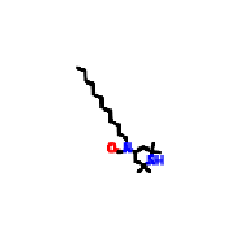 CCCCCCCCCCCCN(C=O)C1CC(C)(C)NC(C)(C)C1